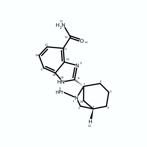 CCCN1C[C@H]2CCC[C@@]1(c1nc3c(C(N)=O)cccc3[nH]1)C2